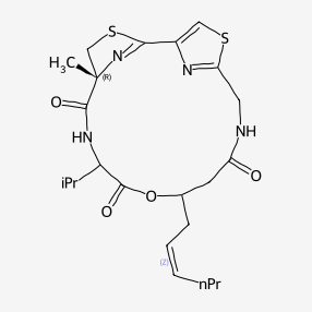 CCC/C=C\CC1CC(=O)NCc2nc(cs2)C2=N[C@@](C)(CS2)C(=O)NC(C(C)C)C(=O)O1